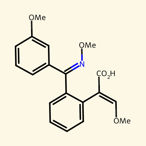 CO/C=C(/C(=O)O)c1ccccc1/C(=N/OC)c1cccc(OC)c1